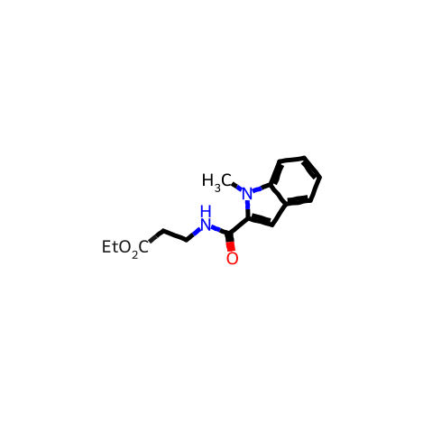 CCOC(=O)CCNC(=O)c1cc2ccccc2n1C